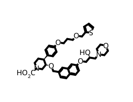 O=C(O)N1CC[C@@H](c2ccc(OCCCOCc3cccs3)cc2)[C@H](OCc2ccc3ccc(OC[C@H](O)CN4CCOCC4)cc3c2)C1